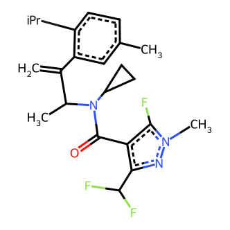 C=C(c1cc(C)ccc1C(C)C)C(C)N(C(=O)c1c(C(F)F)nn(C)c1F)C1CC1